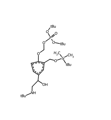 CC(C)(C)NCC(O)c1ccc(OCOP(=O)(OC(C)(C)C)OC(C)(C)C)c(CO[Si](C)(C)C(C)(C)C)c1